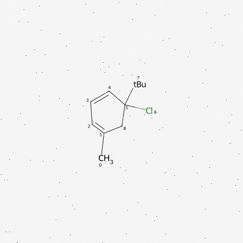 CC1=CC=CC(Cl)(C(C)(C)C)C1